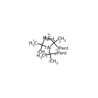 CCCC(C)[C](C)(C)[Al]([C](C)(C)C(C)CCC)[C](C)(C)C(C)CCC